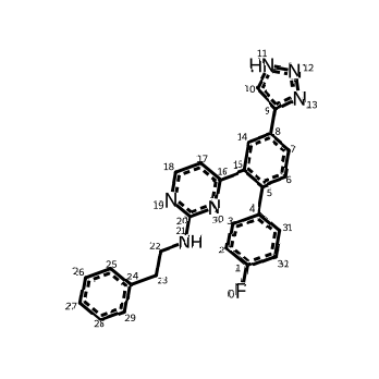 Fc1ccc(-c2ccc(-c3c[nH]nn3)cc2-c2ccnc(NCCc3ccccc3)n2)cc1